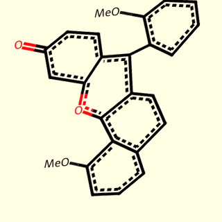 COc1ccccc1-c1c2ccc(=O)cc-2oc2c1ccc1cccc(OC)c12